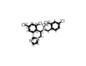 ON(Cc1ccc(Cl)cc1Cl)C(Cn1ccnc1)c1ccc(Cl)cc1Cl